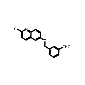 O=Cc1cccc(COc2ccc3nc(Cl)ccc3c2)c1